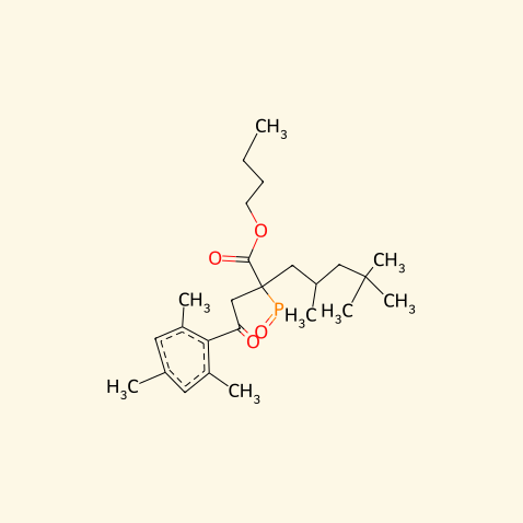 CCCCOC(=O)C(CC(=O)c1c(C)cc(C)cc1C)(CC(C)CC(C)(C)C)P=O